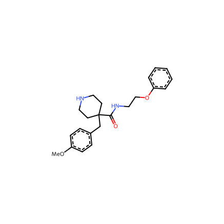 COc1ccc(CC2(C(=O)NCCOc3ccccc3)CCNCC2)cc1